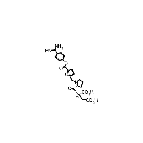 N=C(N)c1ccc(OC(=O)c2ccc(CN3CCC[C@@H]3C(=O)N[C@@H](CC(=O)O)C(=O)O)o2)cc1